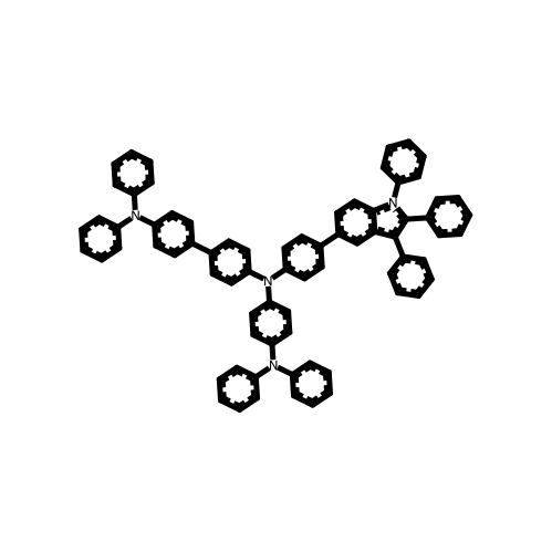 c1ccc(-c2c(-c3ccccc3)n(-c3ccccc3)c3ccc(-c4ccc(N(c5ccc(-c6ccc(N(c7ccccc7)c7ccccc7)cc6)cc5)c5ccc(N(c6ccccc6)c6ccccc6)cc5)cc4)cc23)cc1